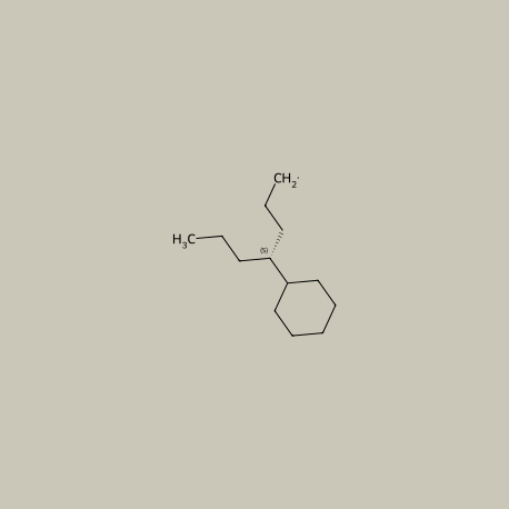 [CH2]CC[C@@H](CCC)C1CCCCC1